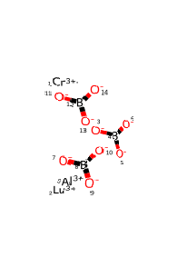 [Al+3].[Cr+3].[Lu+3].[O-]B([O-])[O-].[O-]B([O-])[O-].[O-]B([O-])[O-]